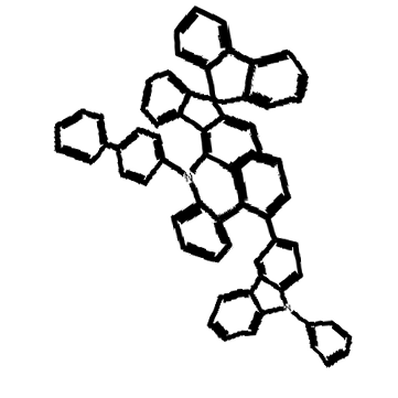 c1ccc(-c2ccc(N(c3ccccc3-c3ccccc3-c3ccc4c(c3)c3ccccc3n4-c3ccccc3)c3cccc4c3-c3ccccc3C43c4ccccc4-c4ccccc43)cc2)cc1